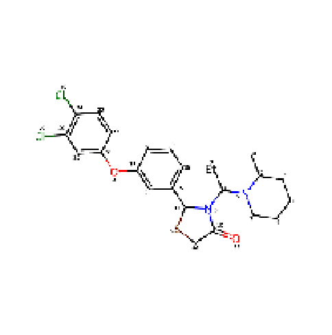 CCC(N1CCCCC1C)N1C(=O)CSC1c1cccc(Oc2ccc(Cl)c(Cl)c2)c1